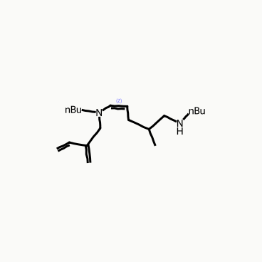 C=CC(=C)CN(/C=C\CC(C)CNCCCC)CCCC